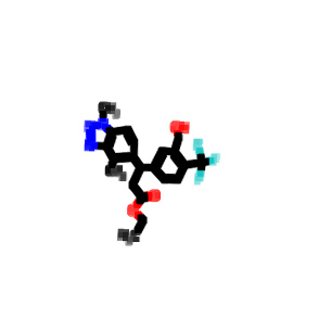 CCOC(=O)CC(c1ccc(C(F)(F)F)c(CO)c1)c1ccc2c(nnn2C)c1C